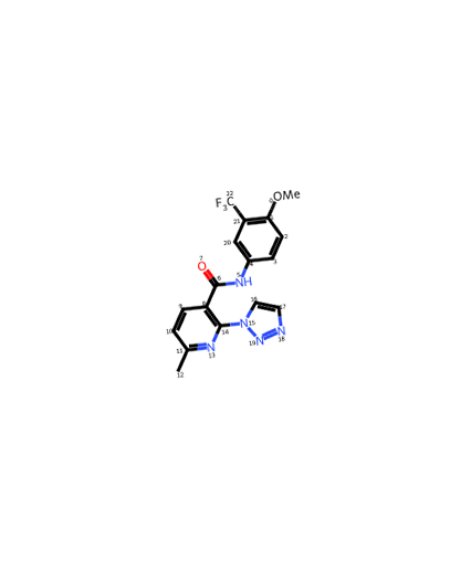 COc1ccc(NC(=O)c2ccc(C)nc2-n2ccnn2)cc1C(F)(F)F